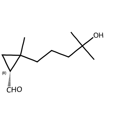 CC(C)(O)CCCC1(C)C[C@H]1C=O